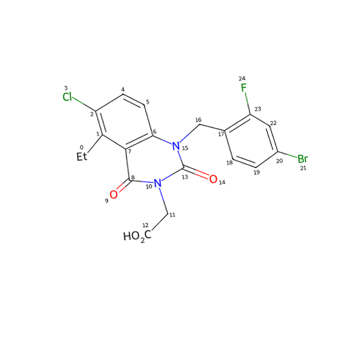 CCc1c(Cl)ccc2c1c(=O)n(CC(=O)O)c(=O)n2Cc1ccc(Br)cc1F